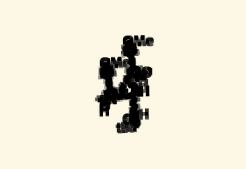 COc1ccc(C#Cc2cc(CN3CCN[C@@H](CCCCNC(=O)OC(C)(C)C)CN(Cc4cc(C#Cc5ccc(OC)cc5)cc([PH](C)=O)n4)CC3)nc([PH](C)=O)c2)cc1